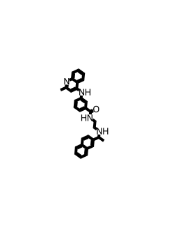 Cc1cc(Nc2cccc(C(=O)NCCNC(C)c3ccc4ccccc4c3)c2)c2ccccc2n1